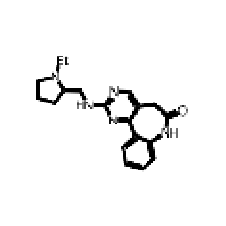 CCN1CCCC1CNc1ncc2c(n1)-c1ccccc1NC(=O)C2